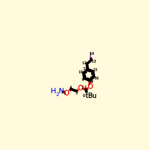 CC(C)(C)C(OCCON)Oc1ccc(CCI)cc1